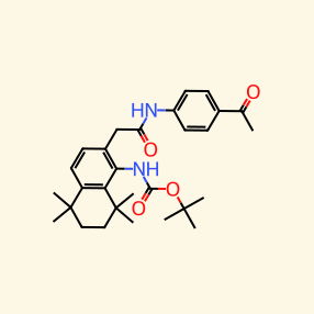 CC(=O)c1ccc(NC(=O)Cc2ccc3c(c2NC(=O)OC(C)(C)C)C(C)(C)CCC3(C)C)cc1